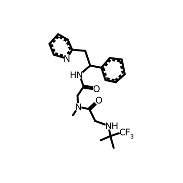 CN(CC(=O)NC(Cc1ccccn1)c1ccccc1)C(=O)CNC(C)(C)C(F)(F)F